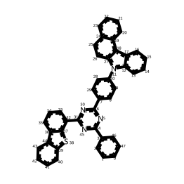 c1ccc(-c2nc(-c3ccc(-n4c5ccccc5c5c6ccccc6ccc54)cc3)nc(-c3cccc4c3sc3ccccc34)n2)cc1